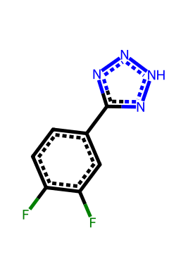 Fc1ccc(-c2nn[nH]n2)cc1F